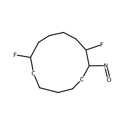 O=NC1CCCCCC(F)CCCCC1F